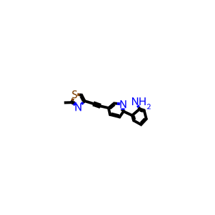 Cc1nc(C#Cc2ccc(-c3ccccc3N)nc2)cs1